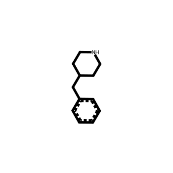 c1ccc(C[C]2CCNCC2)cc1